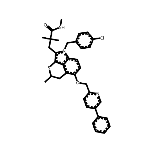 CNC(=O)C(C)(C)Cc1c2c3c(c(OCc4ccc(-c5ccccc5)cn4)ccc3n1Cc1ccc(Cl)cc1)CC(C)S2